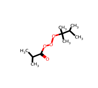 CC(C)C(=O)OOOC(C)(C)C(C)C